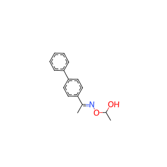 CC(=NOC(C)O)c1ccc(-c2ccccc2)cc1